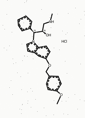 CNC[C@@H](O)[C@H](c1ccccc1)n1ccc2cc(OCc3ccc(OC)cc3)ccc21.Cl